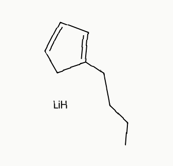 CCCCC1=CC=CC1.[LiH]